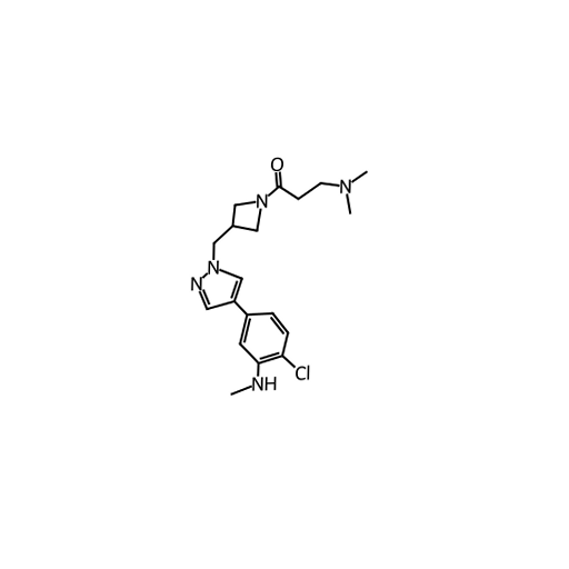 CNc1cc(-c2cnn(CC3CN(C(=O)CCN(C)C)C3)c2)ccc1Cl